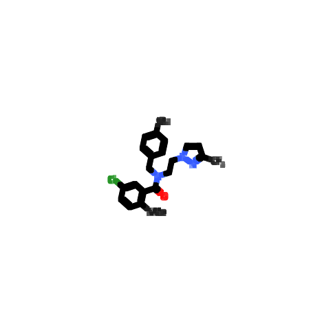 CNc1ccc(Cl)cc1C(=O)N(CCn1ccc(C(F)(F)F)n1)Cc1ccc(C(C)(C)C)cc1